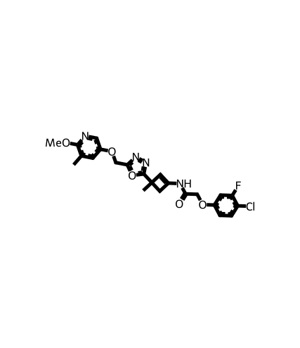 COc1ncc(OCc2nnc(C3(C)C=C(NC(=O)COc4ccc(Cl)c(F)c4)C3)o2)cc1C